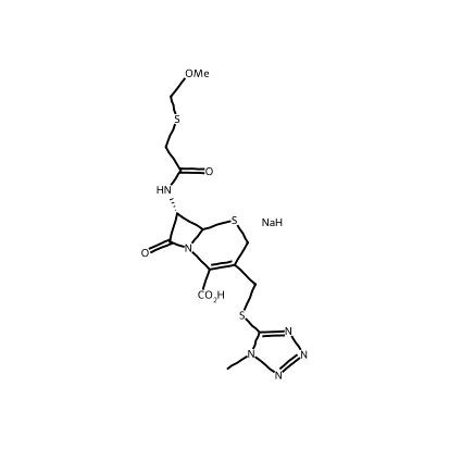 COCSCC(=O)N[C@H]1C(=O)N2C(C(=O)O)=C(CSc3nnnn3C)CSC12.[NaH]